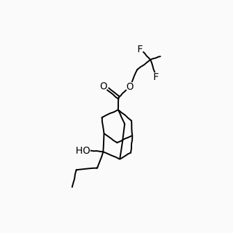 CCCC1(O)C2CC3CC1CC(C(=O)OCC(C)(F)F)(C3)C2